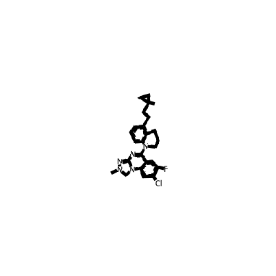 CN1CN2C(=N1)N=C(N1CCCc3c(CCC4(C)CC4)cccc31)c1cc(F)c(Cl)cc12